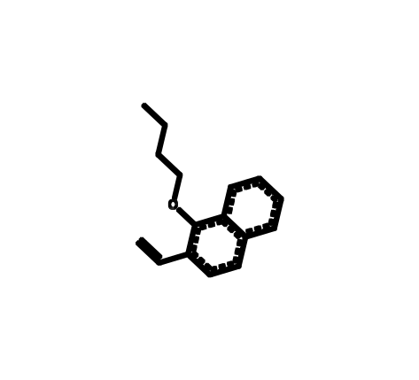 C=Cc1ccc2ccccc2c1OCCCC